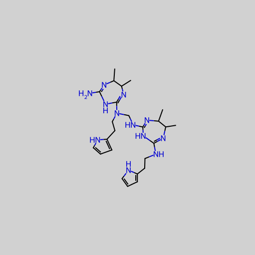 CC1N=C(N)NC(N(CCc2ccc[nH]2)CNC2=NC(C)C(C)N=C(NCCc3ccc[nH]3)N2)=NC1C